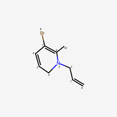 C=CCN1CC=CC(Br)=C1C